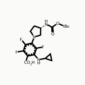 CC(C)(C)OC(=O)N[C@H]1CCN(c2c(F)c(F)c(C(=O)O)c(NC3CC3)c2F)C1